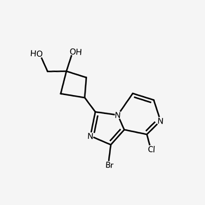 OCC1(O)CC(c2nc(Br)c3c(Cl)nccn23)C1